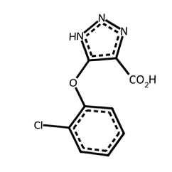 O=C(O)c1nn[nH]c1Oc1ccccc1Cl